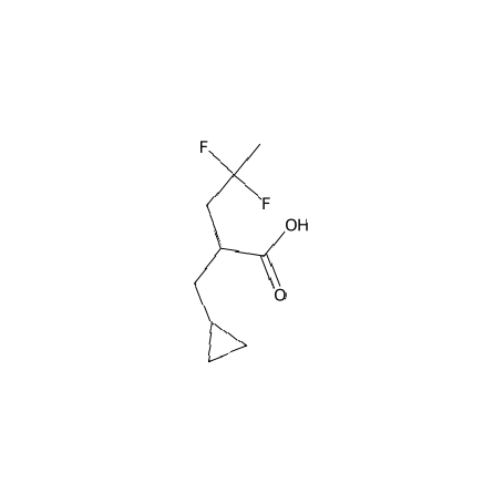 CC(F)(F)CC(CC1CC1)C(=O)O